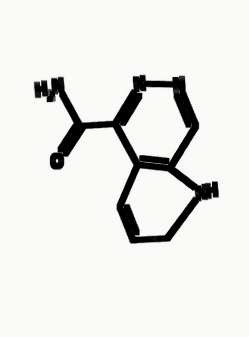 NC(=O)c1nncc2c1C=CCN2